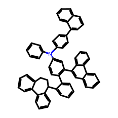 c1ccc(N(c2ccc(-c3cccc4ccccc34)cc2)c2ccc(-c3ccccc3C3CCc4ccccc4-c4ccccc43)c(-c3cc4ccccc4c4ccccc34)c2)cc1